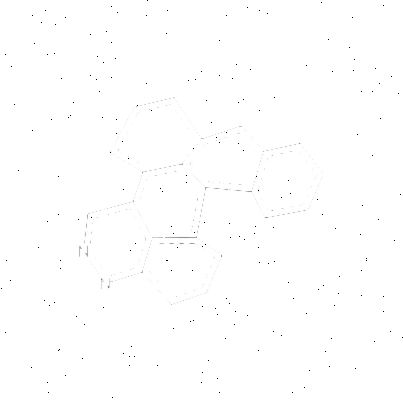 c1ccc2c(c1)cc1cccc3c4cnnc5cccc(c54)c2c13